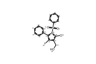 O=S(=O)(c1ccccc1)n1c(Cl)c(CO)c(F)c1-c1ccccc1